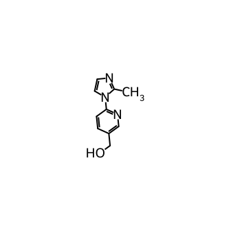 Cc1nccn1-c1ccc(CO)cn1